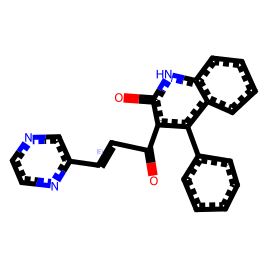 O=C(/C=C/c1cnccn1)c1c(-c2ccccc2)c2ccccc2[nH]c1=O